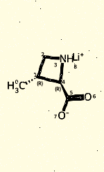 C[C@@H]1CN[C@H]1C(=O)[O-].[Li+]